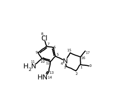 CC1CCN(c2cc(Cl)cc(N)c2C=N)CC1C